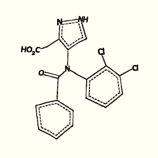 O=C(O)c1n[nH]cc1N(C(=O)c1ccccc1)c1cccc(Cl)c1Cl